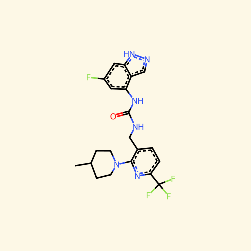 CC1CCN(c2nc(C(F)(F)F)ccc2CNC(=O)Nc2cc(F)cc3[nH]ncc23)CC1